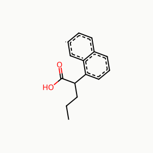 CCCC(C(=O)O)c1cccc2cc[c]cc12